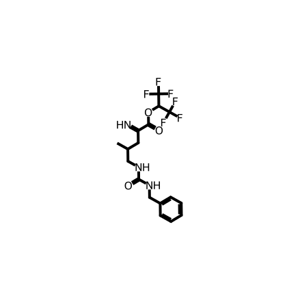 CC(CNC(=O)NCc1ccccc1)CC(=N)C(=O)OC(C(F)(F)F)C(F)(F)F